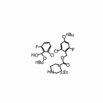 CCCCOC(O)c1c(F)cccc1Cl.CCCCOc1cc(F)c(COC(=O)N2CCNC[C@H]2CC)c(Cl)c1